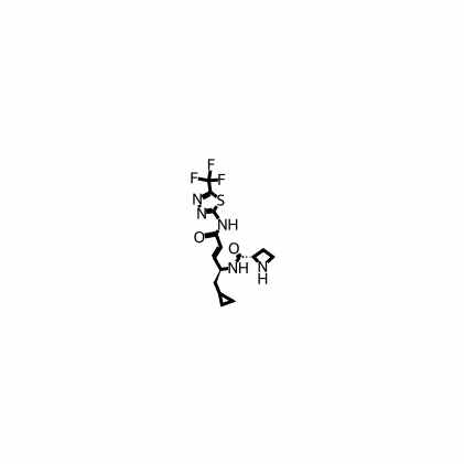 O=C(/C=C/[C@H](CC1CC1)NC(=O)[C@@H]1CCN1)Nc1nnc(C(F)(F)F)s1